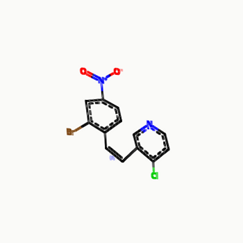 O=[N+]([O-])c1ccc(/C=C\c2cnccc2Cl)c(Br)c1